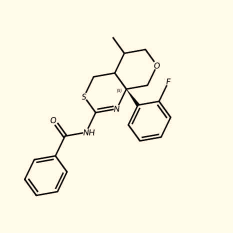 CC1COC[C@]2(c3ccccc3F)N=C(NC(=O)c3ccccc3)SCC12